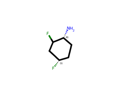 N[C@@H]1CC[C@H](F)CC1F